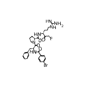 N=C(N)NCCC[C@H](NC(=O)[C@@H]1CCCN1C(=O)[C@H](Cc1ccccc1)NC(=O)c1ccc(Br)cc1)C(=O)CF